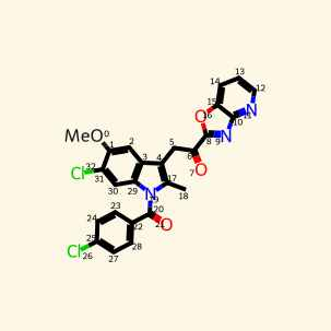 COc1cc2c(CC(=O)c3nc4ncccc4o3)c(C)n(C(=O)c3ccc(Cl)cc3)c2cc1Cl